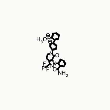 CS(=O)(=O)c1ccccc1-c1ccc(N2CCc3c(C(F)(F)F)nn(-c4ccccc4C(N)=O)c3C2=O)cc1